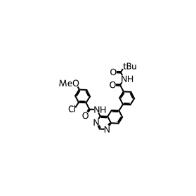 COc1ccc(C(=O)Nc2ncnc3ccc(-c4cccc(C(=O)NC(=O)C(C)(C)C)c4)cc23)c(Cl)c1